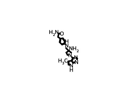 Cc1c[nH]c2ncnc(N3CCC(N)(CNc4ccc(CC(N)=O)cc4)C3)c12